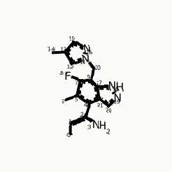 C/C=C(\N)c1c(C)c(F)c(Cn2cc(C)cn2)c2[nH]ncc12